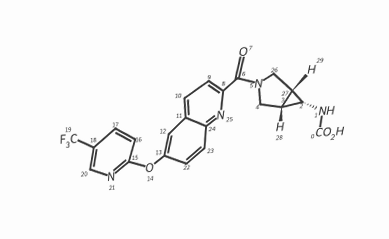 O=C(O)N[C@@H]1[C@@H]2CN(C(=O)c3ccc4cc(Oc5ccc(C(F)(F)F)cn5)ccc4n3)C[C@@H]21